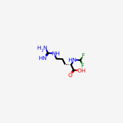 N=C(N)NCCC[C@H](NC(F)F)C(=O)O